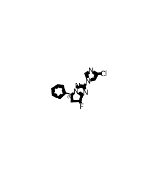 FC1C[C@@H](c2ccccc2)n2nc(-n3cnc(Cl)c3)nc21